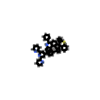 c1ccc(-c2nc3ccccc3c3c4c(ccc23)C2(c3ccccc3Sc3ccccc32)c2cccc(-c3ccc(-c5cc(-c6ccccn6)nc(-c6ccccn6)c5)cc3)c2-4)cc1